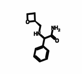 NC(=O)C(NC[C@@H]1CCO1)c1ccccc1